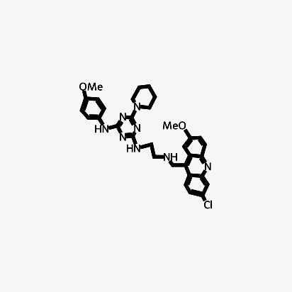 COc1ccc(Nc2nc(NCCNCc3c4ccc(Cl)cc4nc4ccc(OC)cc34)nc(N3CCCCC3)n2)cc1